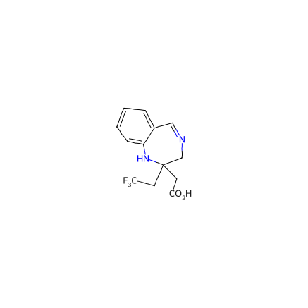 O=C(O)CC1(CC(F)(F)F)CN=Cc2ccccc2N1